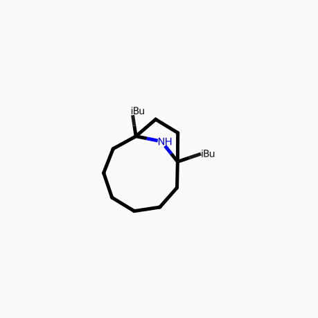 CCC(C)C12CCCCCCC(C(C)CC)(CC1)N2